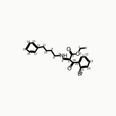 CCOC(=O)C(=CNCCCCc1ccccc1)C(=O)c1ccccc1Br